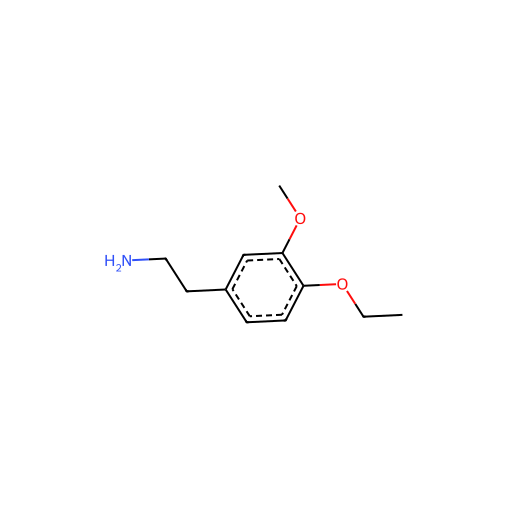 CCOc1ccc(CCN)cc1OC